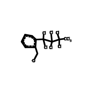 [O]Cc1ccccc1C(Cl)(Cl)C(Cl)(Cl)C(Cl)(Cl)C(Cl)(Cl)Cl